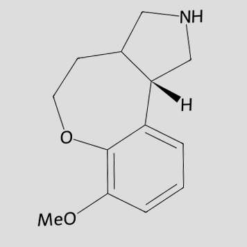 COc1cccc2c1OCCC1CNC[C@H]21